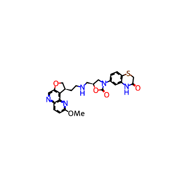 COc1ccc2ncc3c(c2n1)[C@H](CCNC[C@H]1CN(c2ccc4c(c2)NC(=O)CS4)C(=O)O1)CO3